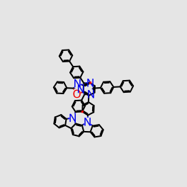 c1ccc(-c2ccc(-c3nc(-c4ccc(-c5ccccc5)cc4)nc(-c4ccc(-n5c6ccccc6c6ccc7c8ccccc8n(-c8ccc(-c9cccc%10nc(-c%11ccccc%11)oc9%10)cc8)c7c65)cc4)n3)cc2)cc1